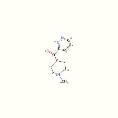 CN1CCC(C(=O)c2cccnn2)CC1